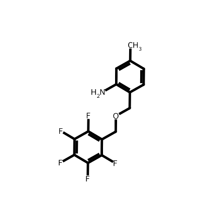 Cc1ccc(COCc2c(F)c(F)c(F)c(F)c2F)c(N)c1